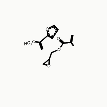 C=C(C(=O)O)c1ccco1.C=C(C)C(=O)OCC1CO1